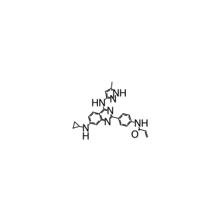 C=CC(=O)Nc1ccc(-c2nc(Nc3cc(C)[nH]n3)c3ccc(NC4CC4)cc3n2)cc1